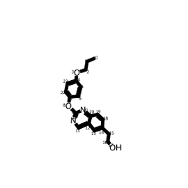 CCCOc1ccc(Oc2ncc3cc(CCO)ccc3n2)cc1